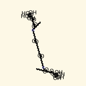 CCCCCCC(C/C=C\CCCCCCCC(=O)OCCCCCCCCCCOC(=O)CCCCCCC/C=C/CC(CCCCCC)OC(=O)CCCC(=O)OC[C@H]1OC(O)[C@@H](O)[C@@H](O)[C@@H]1O)OC(=O)CCCC(=O)OC[C@H]1OC(O)[C@@H](O)[C@@H](O)[C@@H]1O